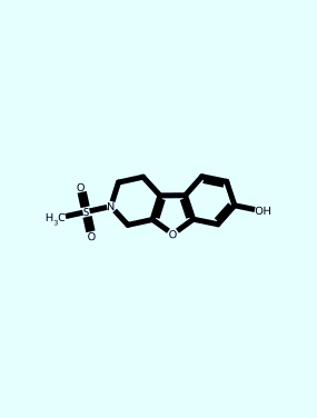 CS(=O)(=O)N1CCc2c(oc3cc(O)ccc23)C1